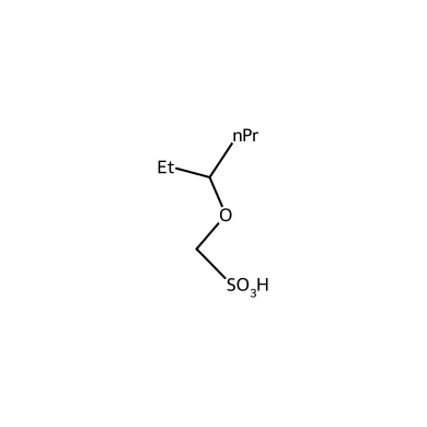 CCCC(CC)OCS(=O)(=O)O